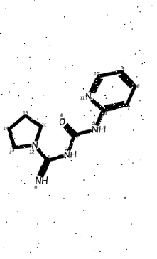 N=C(NC(=O)Nc1ccccn1)N1CCCC1